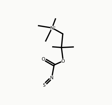 CC(C)(C[N+](C)(C)C)OC(=O)N=S